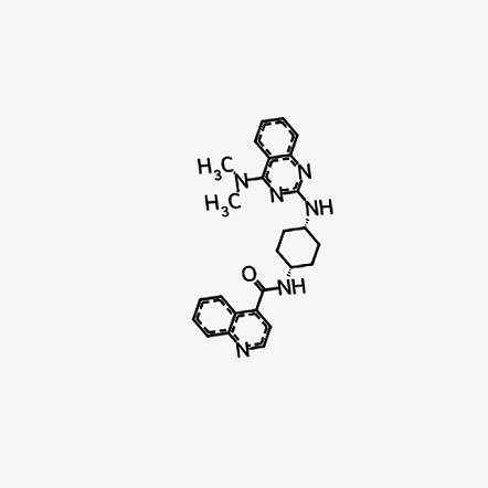 CN(C)c1nc(N[C@H]2CC[C@@H](NC(=O)c3ccnc4ccccc34)CC2)nc2ccccc12